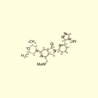 CNCc1nc(N2C[C@@H](C)O[C@@H](C)C2)cc2c1CN(c1cccc(-c3nncn3C(C)C)n1)C2=O